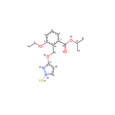 CCOc1cccc(C(=O)OC(C)C)c1COc1ccn(S)n1